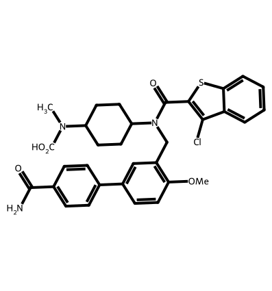 COc1ccc(-c2ccc(C(N)=O)cc2)cc1CN(C(=O)c1sc2ccccc2c1Cl)C1CCC(N(C)C(=O)O)CC1